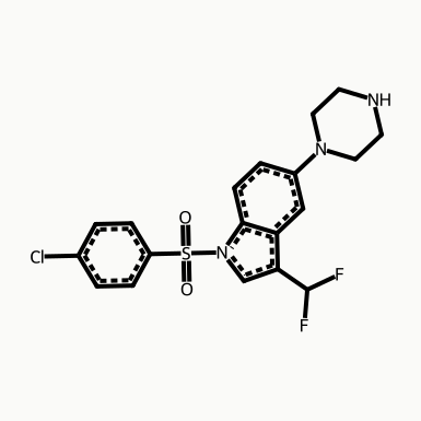 O=S(=O)(c1ccc(Cl)cc1)n1cc(C(F)F)c2cc(N3CCNCC3)ccc21